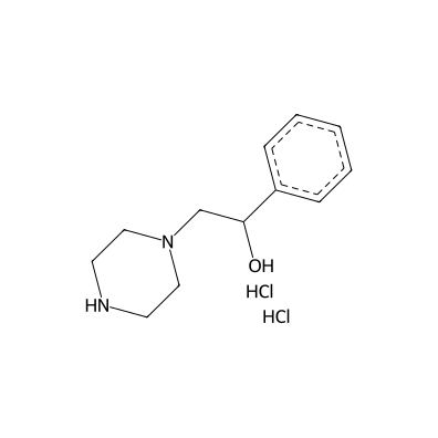 Cl.Cl.OC(CN1CCNCC1)c1ccccc1